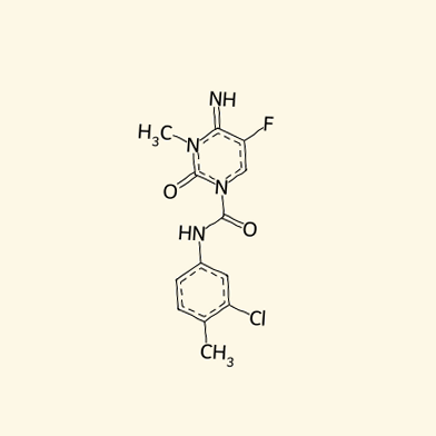 Cc1ccc(NC(=O)n2cc(F)c(=N)n(C)c2=O)cc1Cl